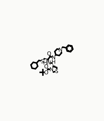 CC(C)(C)OC(=O)N1CSC[C@H]1CN[C@@H](CSCC1CCCCC1)C(=O)NC1CCN(Cc2ccccc2)CC1